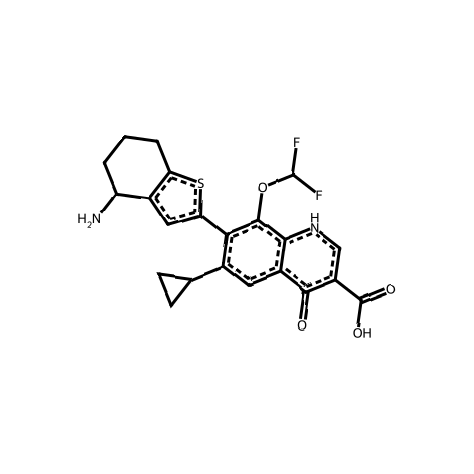 NC1CCCc2sc(-c3c(C4CC4)cc4c(=O)c(C(=O)O)c[nH]c4c3OC(F)F)cc21